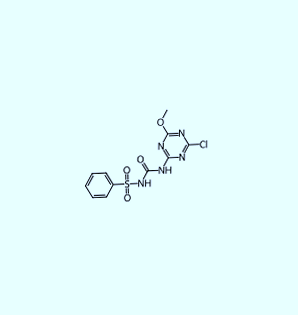 COc1nc(Cl)nc(NC(=O)NS(=O)(=O)c2ccccc2)n1